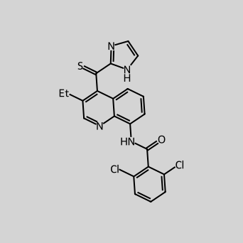 CCc1cnc2c(NC(=O)c3c(Cl)cccc3Cl)cccc2c1C(=S)c1ncc[nH]1